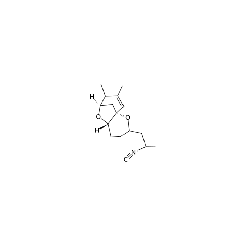 [C-]#[N+]C(C)CC1CC[C@@H]2O[C@@H]3C[C@]2(C=C(C)C3C)O1